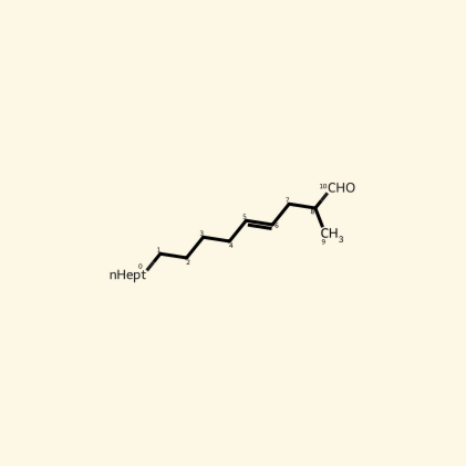 CCCCCCCCCCCC=CCC(C)C=O